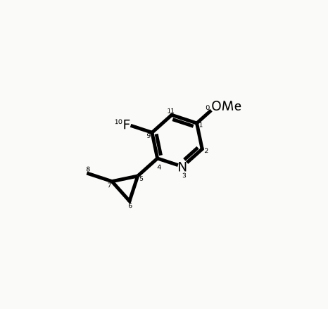 COc1cnc(C2CC2C)c(F)c1